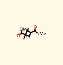 CNC(=O)C1CC(C)(C(=O)OC)C1